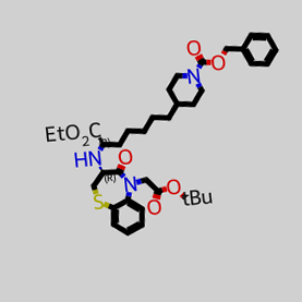 CCOC(=O)[C@@H](CCCCCC1CCN(C(=O)OCc2ccccc2)CC1)N[C@H]1CSc2ccccc2N(CC(=O)OC(C)(C)C)C1=O